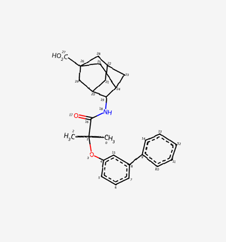 CC(C)(Oc1cccc(-c2ccccc2)c1)C(=O)NC1C2CC3CC1CC(C(=O)O)(C3)C2